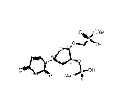 COP(=O)(O)CO[C@H]1O[C@@H](n2ccc(=O)[nH]c2=O)C[C@@H]1OP(O)(=S)OC